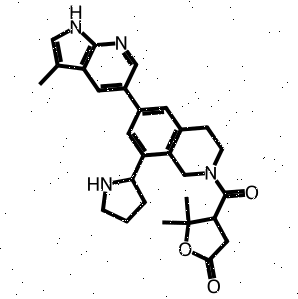 Cc1c[nH]c2ncc(-c3cc4c(c(C5CCCN5)c3)CN(C(=O)C3CC(=O)OC3(C)C)CC4)cc12